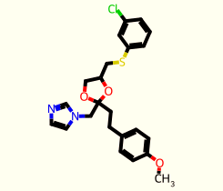 COc1ccc(CCC2(Cn3ccnc3)OCC(CSc3cccc(Cl)c3)O2)cc1